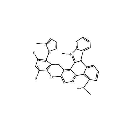 CC(C)c1cccc2c1c1ncc3c(c1c1n2c2ccccc2[n+]1C)Cc1c(c(F)cc(F)c1-n1ccc[n+]1C)O3